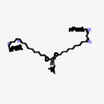 CCCCC/C=C\C/C=C\CCCCCCCCOC1[C@@H](CN(C)C)[C@H]1OCCCCCCCC/C=C\C/C=C\CCCCC